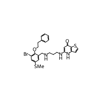 CSc1cc(Br)c(OCCc2ccccc2)c(CNCCCNc2cc(=O)c3sccc3[nH]2)c1